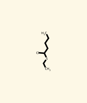 CCCCC(Cl)SCC